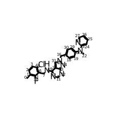 Cc1ccc(Cl)c(CNc2ncnc3nn(Cc4ccc(N(C)c5ccccn5)cc4)cc23)c1F